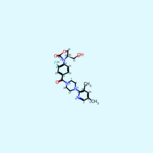 Cc1cnc(N2CCN(C(=O)c3ccc(N4C(=O)OC[C@H]4CO)c(F)c3)CC2)c(C)c1